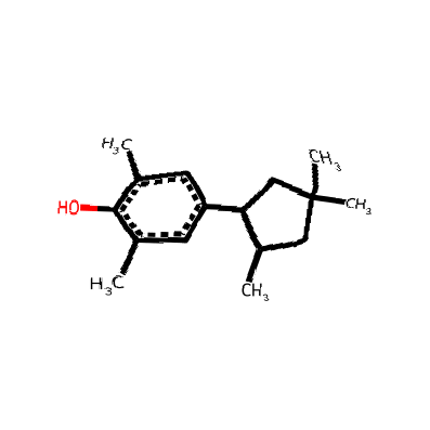 Cc1cc(C2CC(C)(C)CC2C)cc(C)c1O